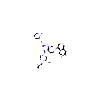 C=C(F)C(=O)N1CCN(c2nc(OC[C@@H]3CCCN3C)nc3c2CCN(c2cncc4cc(F)c(F)cc24)C3)C[C@@H]1CC#N